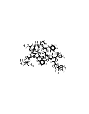 CC(C)C[C@H](NC(=O)[C@@H]1CCCN1C(=O)[C@H](Cc1ccccc1)NC(=O)[C@H](C)NC(=O)[C@H](CCC(=O)OC(C)(C)C)NC(=O)[C@H](C)N)C(=O)N[C@@H](CCC(=O)OC(C)(C)C)C(=O)N[C@@H](Cc1ccccc1)C(=O)O